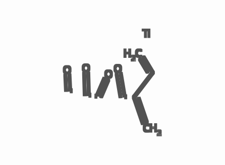 C=CC=C.[C]=O.[C]=O.[C]=O.[C]=O.[Ti]